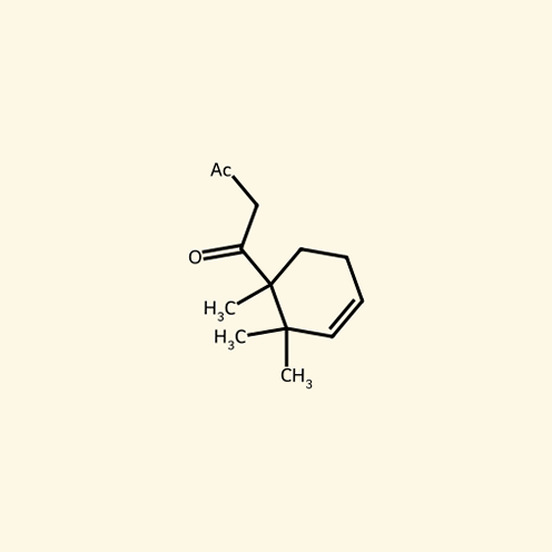 CC(=O)CC(=O)C1(C)CCC=CC1(C)C